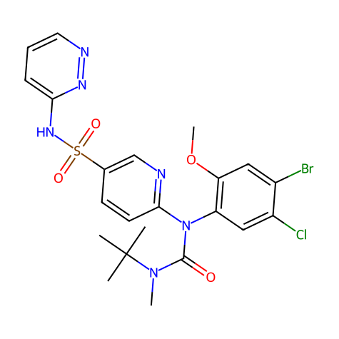 COc1cc(Br)c(Cl)cc1N(C(=O)N(C)C(C)(C)C)c1ccc(S(=O)(=O)Nc2cccnn2)cn1